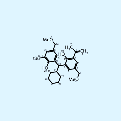 C=C(C)c1cc(COC)cc(C(c2cc(COC)cc(C(C)(C)C)c2O)C2CCCCC2)c1O